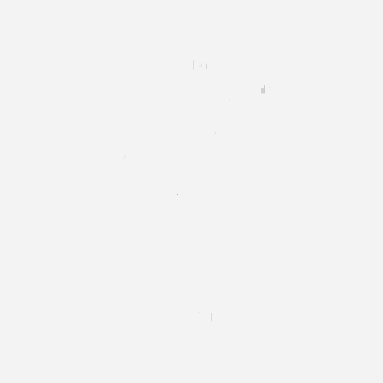 CC=CC=CC(C)=CC=C(C(C)C)C(C)(C)C